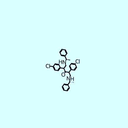 C[C@@H](NCC(C(=O)C(CN[C@H](C)c1ccccc1)c1ccc(Cl)cc1)c1ccc(Cl)cc1)c1ccccc1